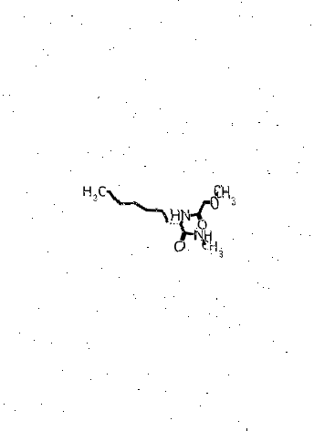 CCCCCCC[C@H](NC(=O)COC)C(=O)NC